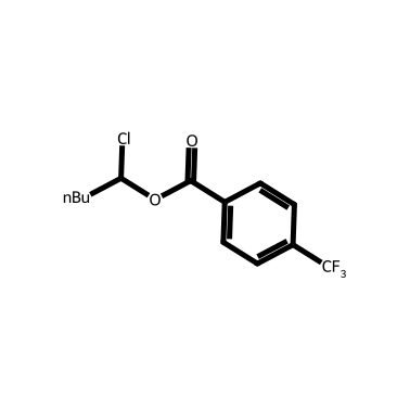 CCCCC(Cl)OC(=O)c1ccc(C(F)(F)F)cc1